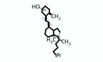 C=C1CC[C@@H](O)C/C1=C/C=C1\CCC[C@@]2(C)C1CC[C@@H]2[C@H](C)CCCC(C)C